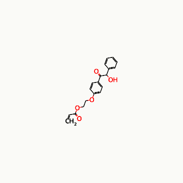 C=CC(=O)OCCOc1ccc(C(=O)C(O)c2ccccc2)cc1